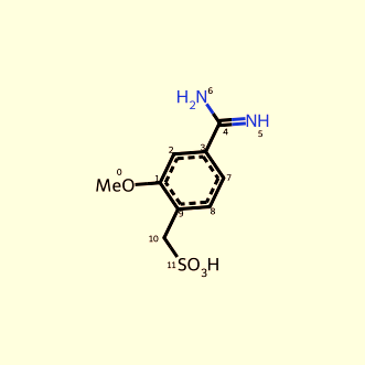 COc1cc(C(=N)N)ccc1CS(=O)(=O)O